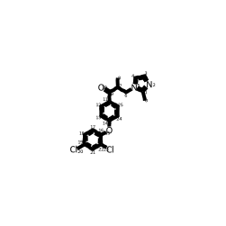 Cc1nccn1CC(C)C(=O)c1ccc(Oc2ccc(Cl)cc2Cl)cc1